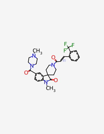 CN1CCN(C(=O)c2ccc3c(c2)C2(CCN(C(=O)/C=C/c4ccccc4C(F)(F)F)CC2)C(=O)N3C)CC1